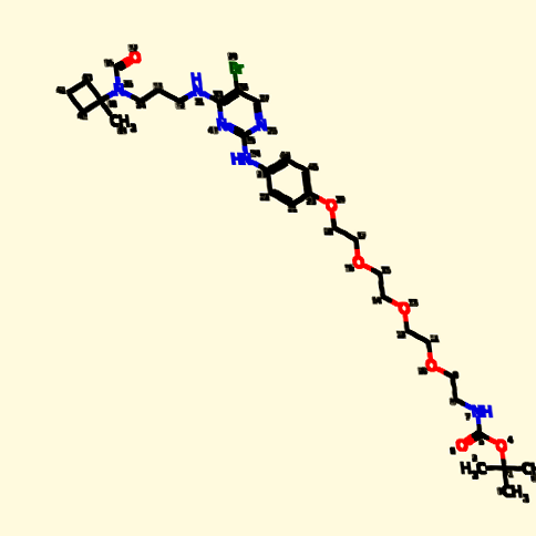 CC(C)(C)OC(=O)NCCOCCOCCOCCOc1ccc(Nc2ncc(Br)c(NCCCN(C=O)C3(C)CCC3)n2)cc1